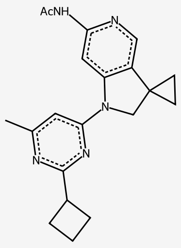 CC(=O)Nc1cc2c(cn1)C1(CC1)CN2c1cc(C)nc(C2CCC2)n1